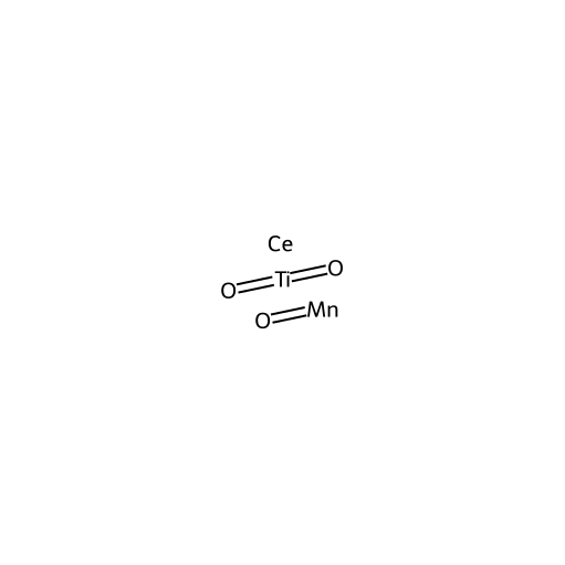 [Ce].[O]=[Mn].[O]=[Ti]=[O]